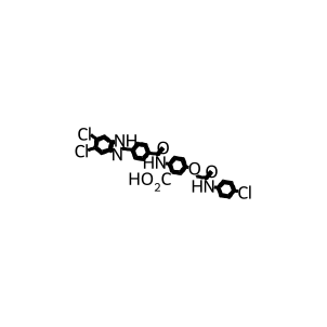 O=C(COc1ccc(NC(=O)c2ccc(-c3nc4cc(Cl)c(Cl)cc4[nH]3)cc2)c(C(=O)O)c1)Nc1ccc(Cl)cc1